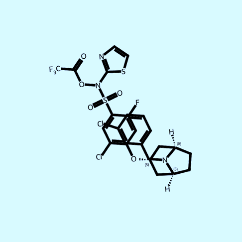 O=C(ON(c1nccs1)S(=O)(=O)c1cc(Cl)c(O[C@@H]2C[C@H]3CC[C@@H](C2)N3Cc2cccc(Cl)c2)cc1F)C(F)(F)F